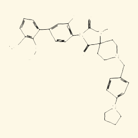 CCOc1c(C#N)cccc1-c1ccc(N2C(=O)N(CC)C3(CCN(Cc4ccc(N5CCCC5)cc4)CC3)C2=O)c(Cl)c1